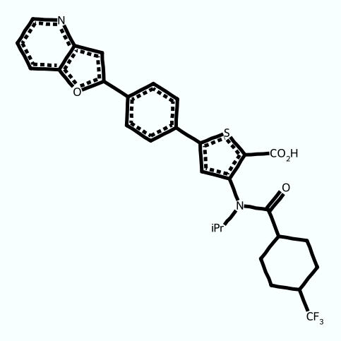 CC(C)N(C(=O)C1CCC(C(F)(F)F)CC1)c1cc(-c2ccc(-c3cc4ncccc4o3)cc2)sc1C(=O)O